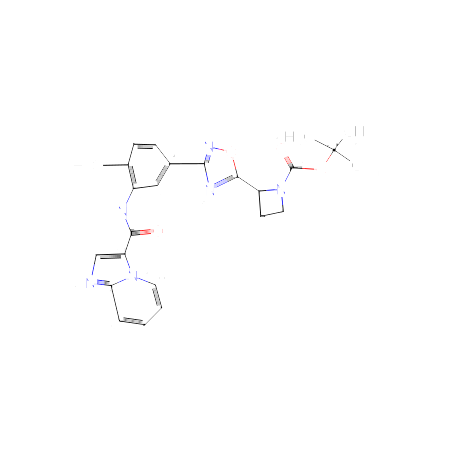 Cc1ccc(-c2noc(C3CCN3C(=O)OC(C)(C)C)n2)cc1NC(=O)c1cnc2ccccn12